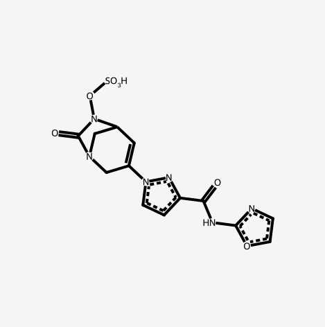 O=C(Nc1ncco1)c1ccn(C2=CC3CN(C2)C(=O)N3OS(=O)(=O)O)n1